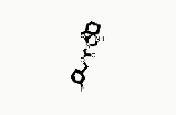 CC1CCCCC12NCN(CC(=O)OCc1cccc(F)c1)C2=O